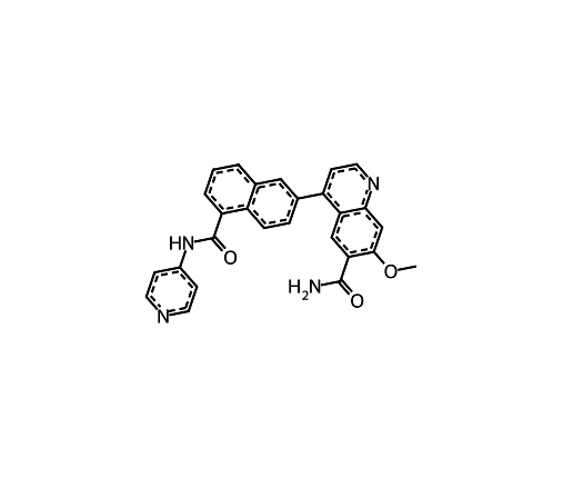 COc1cc2nccc(-c3ccc4c(C(=O)Nc5ccncc5)cccc4c3)c2cc1C(N)=O